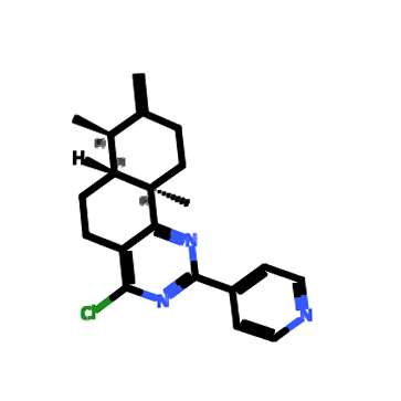 C=C1CC[C@@]2(C)c3nc(-c4ccncc4)nc(Cl)c3CC[C@@H]2[C@H]1C